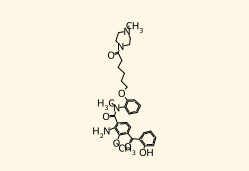 COc1c(C(=O)c2ccccc2O)ccc(C(=O)N(C)c2ccccc2OCCCCCC(=O)N2CCN(C)CC2)c1N